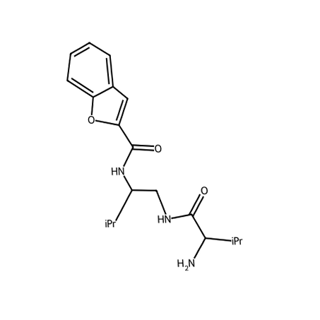 CC(C)C(CNC(=O)C(N)C(C)C)NC(=O)c1cc2ccccc2o1